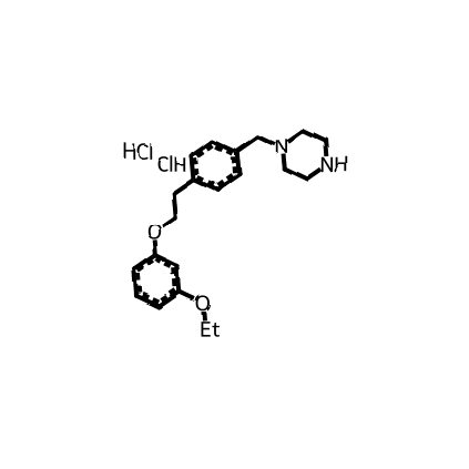 CCOc1cccc(OCCc2ccc(CN3CCNCC3)cc2)c1.Cl.Cl